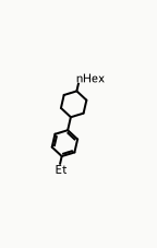 CCCCCCC1CCC(c2ccc(CC)cc2)CC1